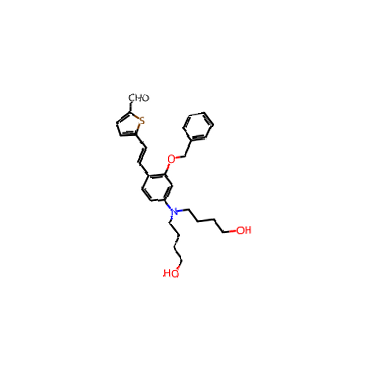 O=Cc1ccc(/C=C/c2ccc(N(CCCCO)CCCCO)cc2OCc2ccccc2)s1